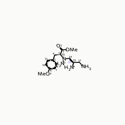 COC(=O)[C@H](Cc1ccc(OC)cc1)N(N)/C=C(\N)CN